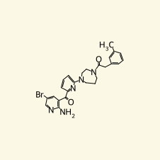 Cc1cccc(CC(=O)N2CCCN(c3cccc(C(=O)c4cc(Br)cnc4N)n3)CC2)c1